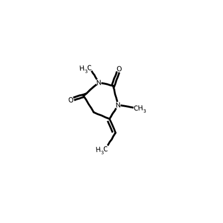 CC=C1CC(=O)N(C)C(=O)N1C